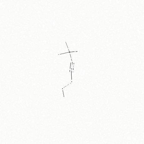 CCCCC(C)(C)C#CCCC(=O)O